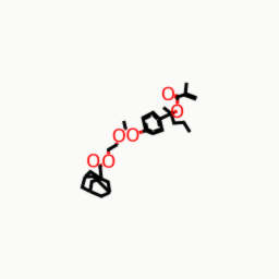 C=C(C)C(=O)OC(C)(CCC)c1ccc(OC(C)OCCOC(=O)C23CC4CC(CC(C4)C2)C3)cc1